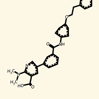 CN(C)c1ncc(-c2cccc(C(=O)Nc3ccc(OCCc4ccccc4)cc3)c2)cc1C(=O)O